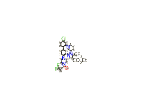 CCOC(=O)c1cnn(C2CCCN(c3cc(Cl)ccc3-c3ccc(N4CCN(C(=O)C5CC5(F)F)CC4)cc3)C2)c1C(F)(F)F